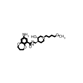 COCCCCN1CC[C@@H](CNC(=O)c2cc(N)cc3c2OCCCO3)[C@H](O)C1